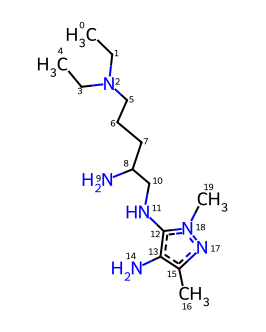 CCN(CC)CCCC(N)CNc1c(N)c(C)nn1C